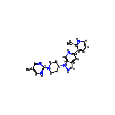 CCc1cnc(N2CCC(n3ncc4cc(-c5cccnc5C#N)ncc43)CC2)nc1